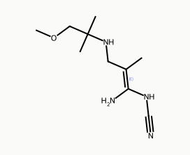 COCC(C)(C)NC/C(C)=C(\N)NC#N